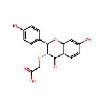 O=C(O)CO[C@H]1C(=O)c2ccc(O)cc2O[C@@H]1c1ccc(O)cc1